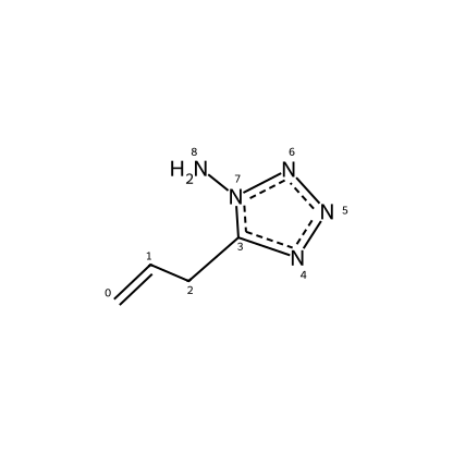 C=CCc1nnnn1N